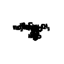 CCOC(=O)N1CCN(C(=O)[C@H](CC(=O)O)NC(=O)c2cc(OCC(=O)N3CCC[C@H]3C(=O)NC3CCCC3)c3ccc(C)cc3n2)CC1